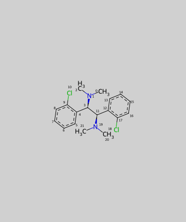 CN(C)[C@H](c1ccccc1Cl)[C@@H](c1ccccc1Cl)N(C)C